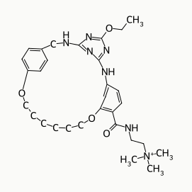 CCOc1nc2nc(n1)Nc1ccc(C(=O)NCC[N+](C)(C)C)c(c1)OCCCCCCOc1ccc(cc1)CN2